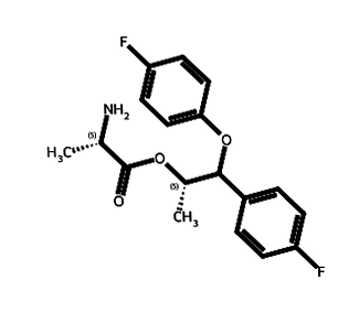 C[C@H](N)C(=O)O[C@@H](C)C(Oc1ccc(F)cc1)c1ccc(F)cc1